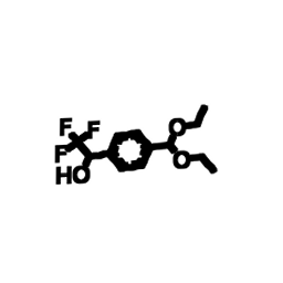 CCOC(OCC)c1ccc(C(O)C(F)(F)F)cc1